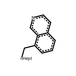 CCCCCCCCc1cccc2ccncc12